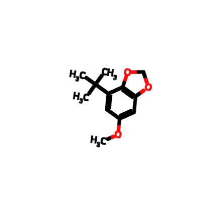 COc1cc2c(c(C(C)(C)C)c1)OCO2